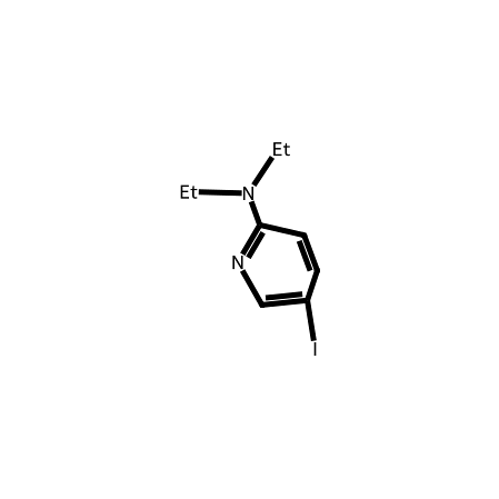 CCN(CC)c1ccc(I)cn1